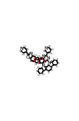 C1=CC2c3ccccc3N(c3nc(-c4cccnc4)nc(-c4ccccn4)n3)C2c2c1c1ccccc1n2-c1cccc(-c2ccc3oc(-c4ccncc4)nc3c2)c1